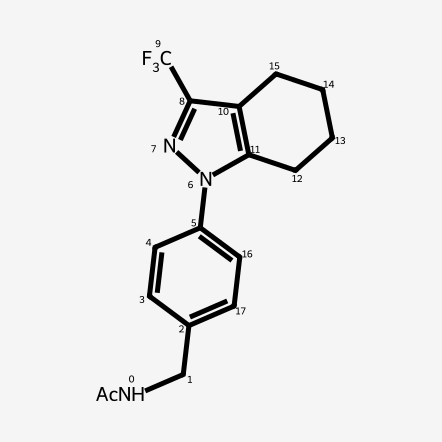 CC(=O)NCc1ccc(-n2nc(C(F)(F)F)c3c2CCCC3)cc1